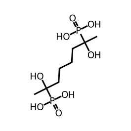 CC(O)(CCCCC(C)(O)P(=O)(O)O)P(=O)(O)O